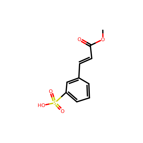 COC(=O)/C=C/c1cccc(S(=O)(=O)O)c1